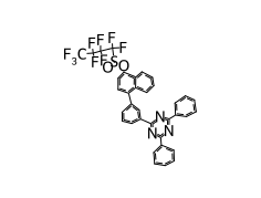 O=S(Oc1ccc(-c2cccc(-c3nc(-c4ccccc4)nc(-c4ccccc4)n3)c2)c2ccccc12)C(F)(F)C(F)(F)C(F)(F)C(F)(F)F